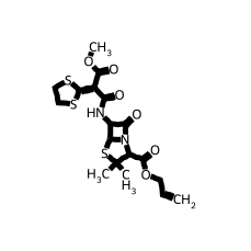 C=CCOC(=O)C1N2C(=O)C(NC(=O)C(C(=O)OC)=C3SCCS3)C2SC1(C)C